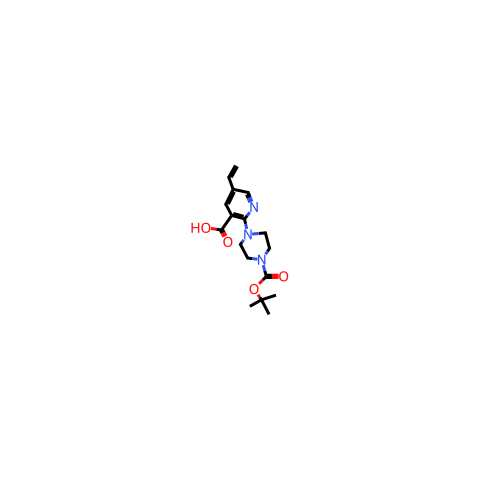 C=Cc1cnc(N2CCN(C(=O)OC(C)(C)C)CC2)c(C(=O)O)c1